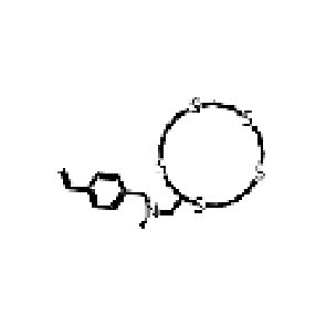 C=Cc1ccc(CN(C)CC2CSCCCSCCSCCSCCCS2)cc1